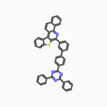 c1ccc(-c2nc(-c3ccccc3)nc(-c3ccc(-c4cccc(-c5nc6c7ccccc7ccc6c6c5sc5ccccc56)c4)cc3)n2)cc1